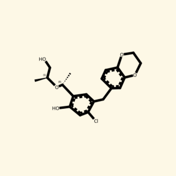 C[C@@H](CO)O[C@H](C)c1cc(Cc2ccc3c(c2)OCCO3)c(Cl)cc1O